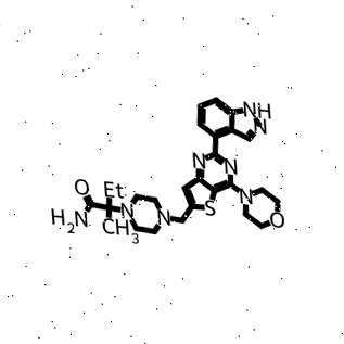 CCC(C)(C(N)=O)N1CCN(Cc2cc3nc(-c4cccc5[nH]ncc45)nc(N4CCOCC4)c3s2)CC1